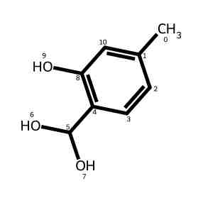 Cc1ccc(C(O)O)c(O)c1